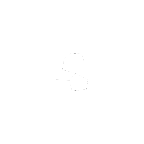 CC1CCCC12CCCCC2